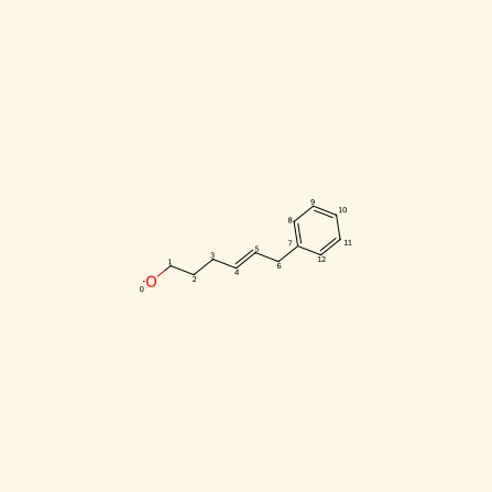 [O]CCC/C=C/Cc1ccccc1